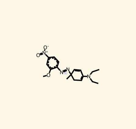 CCN(CC)C1=CCC(C)(/N=N/c2ccc([N+](=O)[O-])cc2OC)C=C1